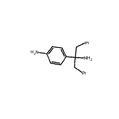 CC(C)CC(N)(CC(C)C)c1ccc(N)cc1